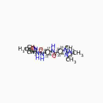 Cc1cc(C)nc(N(C)c2ccc(C(=O)Nc3ccc(NC(=O)Nc4cc(C(C)(C)C)on4)cc3)cc2)n1